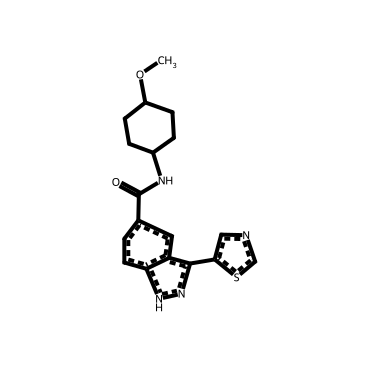 COC1CCC(NC(=O)c2ccc3[nH]nc(-c4cncs4)c3c2)CC1